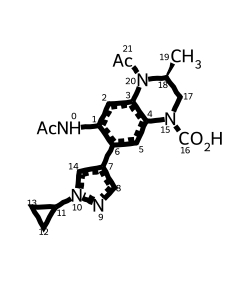 CC(=O)Nc1cc2c(cc1-c1cnn(C3CC3)c1)N(C(=O)O)C[C@H](C)N2C(C)=O